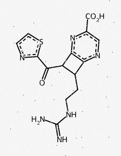 N=C(N)NCCC1c2ncc(C(=O)O)nc2C1C(=O)c1nccs1